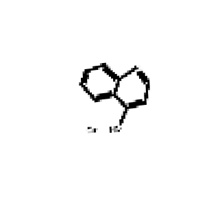 Oc1ccnc2ccccc12.[Cu]